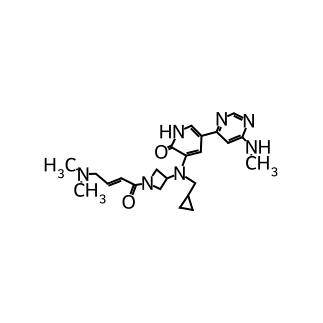 CNc1cc(-c2c[nH]c(=O)c(N(CC3CC3)C3CN(C(=O)/C=C/CN(C)C)C3)c2)ncn1